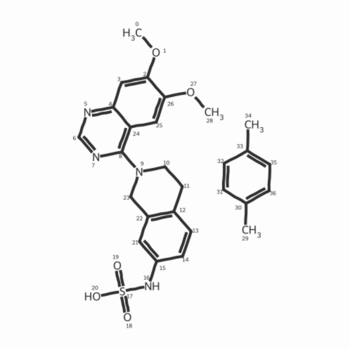 COc1cc2ncnc(N3CCc4ccc(NS(=O)(=O)O)cc4C3)c2cc1OC.Cc1ccc(C)cc1